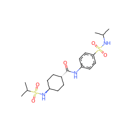 CC(C)NS(=O)(=O)c1ccc(NC(=O)[C@H]2CC[C@H](NS(=O)(=O)C(C)C)CC2)cc1